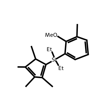 CC[Si](CC)(C1=C(C)C(C)=C(C)C1C)c1cccc(C)c1OC